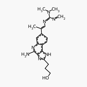 C=N/C(=N\C=C(/C)c1ccc2c(c1)nc(N)c1nc(CCCO)[nH]c12)N(C)C